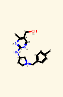 Cc1ccc(CN2CC[C@@H](Nc3ncc(CO)c(C)n3)C2)cc1